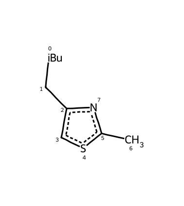 CCC(C)Cc1csc(C)n1